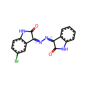 O=C1Nc2ccccc2/C1=N/N=C1\C(=O)Nc2ccc(Br)cc21